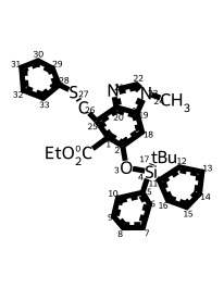 CCOC(=O)c1c(O[Si](c2ccccc2)(c2ccccc2)C(C)(C)C)cc2c(ncn2C)c1CSc1ccccc1